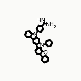 N=C(N)c1ccc(-n2c3ccccc3c3cc4c5ccc6c7ccccc7oc6c5n(-c5ccccc5)c4cc32)cc1